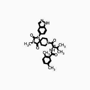 Cc1ccc(C)c(C(=O)N[C@@H](C(=O)N2CCC3(CC2)C(=O)N(C)C(=O)N3c2ccc3[nH]ncc3c2)C(C)C)c1